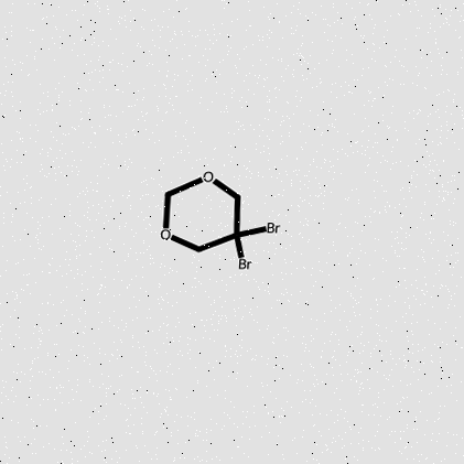 BrC1(Br)COCOC1